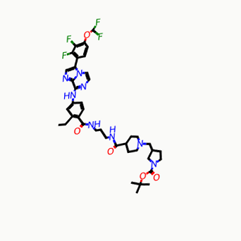 CCc1cc(Nc2nccn3c(-c4ccc(OC(F)F)c(F)c4F)cnc23)ccc1C(=O)NCCCNC(=O)C1CCN(CC2CCN(C(=O)OC(C)(C)C)C2)CC1